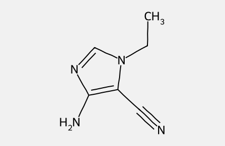 CCn1cnc(N)c1C#N